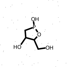 OCC1OP(O)CC1O